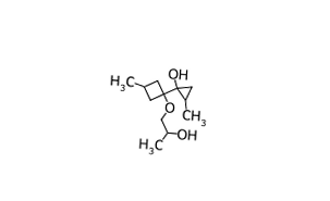 CC(O)COC1(C2(O)CC2C)CC(C)C1